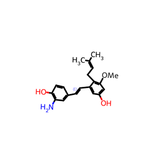 COc1cc(O)cc(/C=C/c2ccc(O)c(N)c2)c1CC=C(C)C